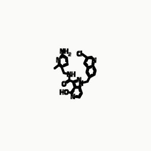 Cc1nc(N)ccc1CNC(=O)c1nn(Cc2ccc3ncc(Cl)cc3c2)c2ccnc(O)c12